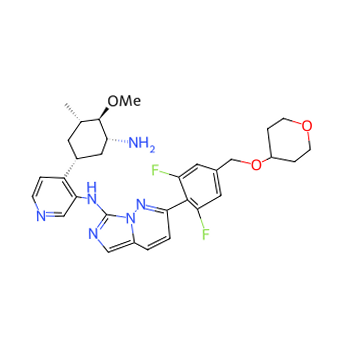 CO[C@H]1[C@H](N)C[C@H](c2ccncc2Nc2ncc3ccc(-c4c(F)cc(COC5CCOCC5)cc4F)nn23)C[C@@H]1C